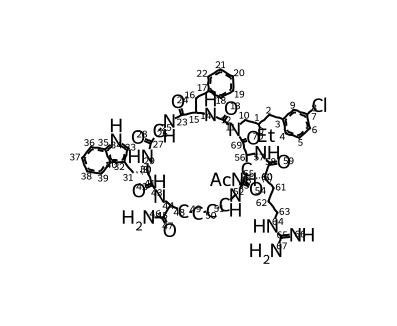 CCC(Cc1cccc(Cl)c1)CN1C(=O)NC(Cc2ccccc2)C(=O)NCC(=O)N[C@@H](Cc2c[nH]c3ccccc23)C(=O)NC(C(N)=O)CCCCNC(=O)CC(NC(=O)[C@H](CCCNC(=N)N)NC(C)=O)C1=O